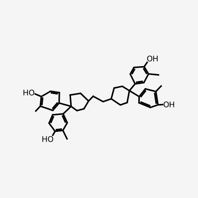 Cc1cc(C2(c3ccc(O)c(C)c3)CCC(CCC3CCC(c4ccc(O)c(C)c4)(c4ccc(O)c(C)c4)CC3)CC2)ccc1O